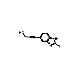 OCC#Cc1ccc2[nH]c(I)nc2c1